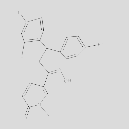 Cn1cc(C(CC(c2ccc(Br)cc2)c2ccc(F)cc2Cl)=NO)ccc1=O